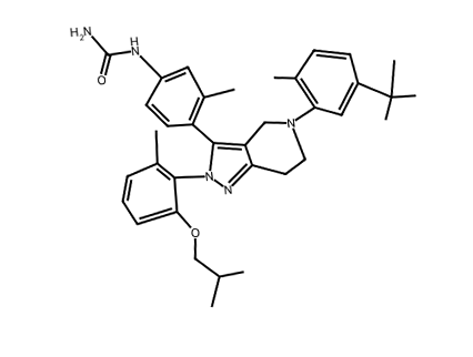 Cc1cc(NC(N)=O)ccc1-c1c2c(nn1-c1c(C)cccc1OCC(C)C)CCN(c1cc(C(C)(C)C)ccc1C)C2